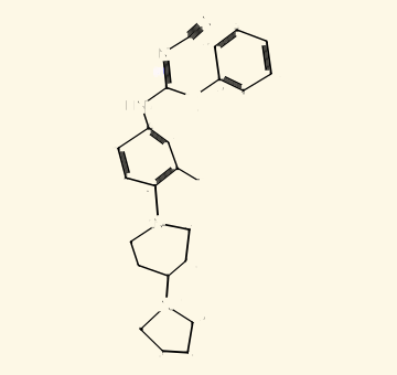 N#C/N=C(/Nc1ccc(N2CCC(N3CCCC3)CC2)c(F)c1)Oc1ccccc1